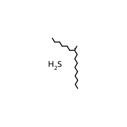 CCCCCCCCC[C](C)CCCCCC.S